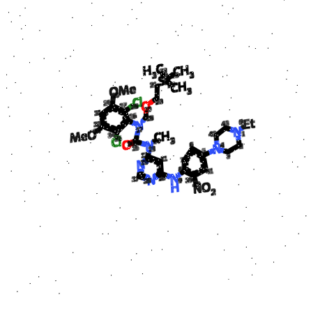 CCN1CCN(c2ccc(Nc3cc(N(C)C(=O)N(COCC[Si](C)(C)C)c4c(Cl)c(OC)cc(OC)c4Cl)ncn3)c([N+](=O)[O-])c2)CC1